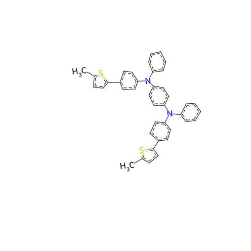 Cc1ccc(-c2ccc(N(c3ccccc3)c3ccc(N(c4ccccc4)c4ccc(-c5ccc(C)s5)cc4)cc3)cc2)s1